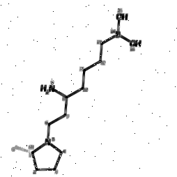 C[C@H]1CCCN1CCC(N)CCCCB(O)O